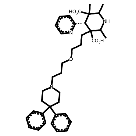 CC1NC(C)C(CCCOCCCN2CCC(c3ccccc3)(c3ccccc3)CC2)(C(=O)O)[C@H](c2ccccn2)C1(C)C(=O)O